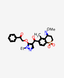 CCn1ncc(C(=O)c2ccc3c(c2C)/C(=N/OC)CCS3(=O)=O)c1OCC(=O)c1ccccc1